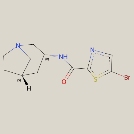 O=C(N[C@@H]1C[C@@H]2CCN(C2)C1)c1ncc(Br)s1